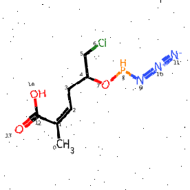 CC(=CCC(CCl)OPN=[N+]=[N-])C(=O)O